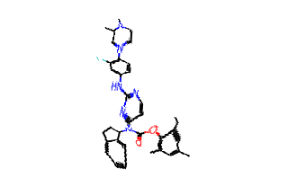 Cc1cc(C)c(OC(=O)N(c2ccnc(Nc3ccc(N4CCN(C)C(C)C4)c(F)c3)n2)C2CCc3ccccc32)c(C)c1